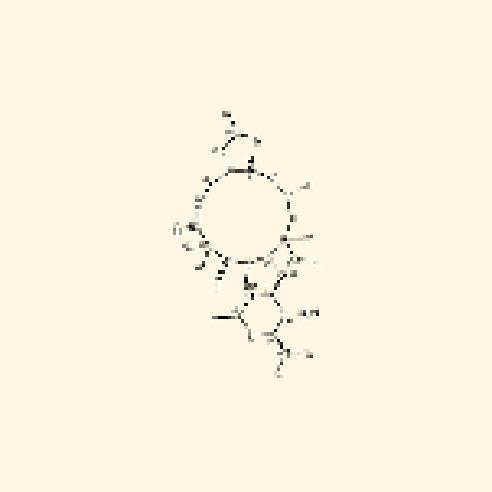 CO[C@]1(C)C[C@@H](C)CN[C@@H](CN(C)C)COC(=O)C(C)(C)C(=O)[C@H](C)[C@H]1O[C@@H]1O[C@H](C)C[C@H](N(C)C)[C@H]1O